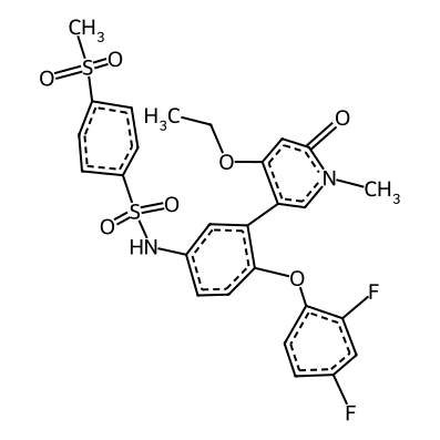 CCOc1cc(=O)n(C)cc1-c1cc(NS(=O)(=O)c2ccc(S(C)(=O)=O)cc2)ccc1Oc1ccc(F)cc1F